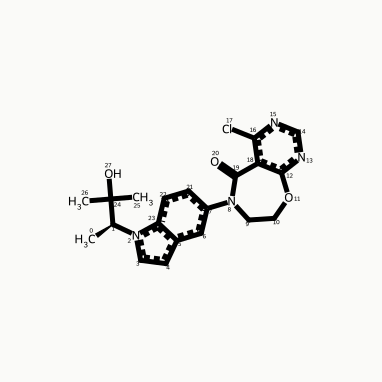 C[C@H](n1ccc2cc(N3CCOc4ncnc(Cl)c4C3=O)ccc21)C(C)(C)O